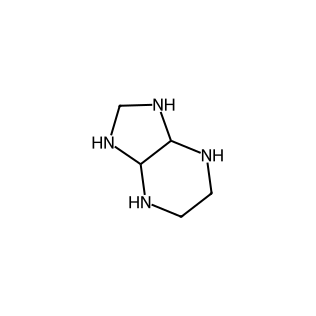 C1CNC2NCNC2N1